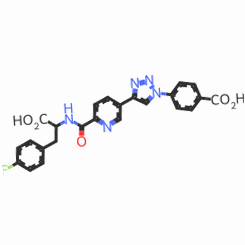 O=C(O)c1ccc(-n2cc(-c3ccc(C(=O)NC(Cc4ccc(F)cc4)C(=O)O)nc3)nn2)cc1